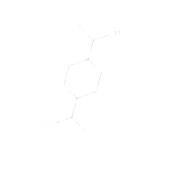 CC(F)C1[CH]CC(C(C)F)[CH]C1